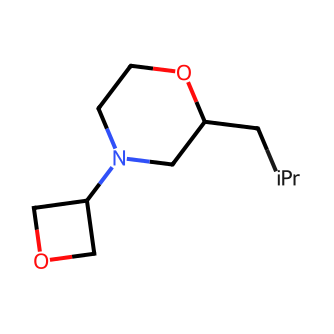 CC(C)CC1CN(C2COC2)CCO1